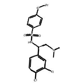 CC(C)Oc1ccc(S(=O)(=O)N[C@@H](CN(C)C)c2ccc(Cl)c(Cl)c2)cc1